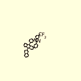 FC(F)(F)c1ccc2c(c1)nc(-c1ccccc1)n2-c1cccc(-c2c3ccccc3c(-c3ccc4ccccc4c3)c3ccccc23)c1